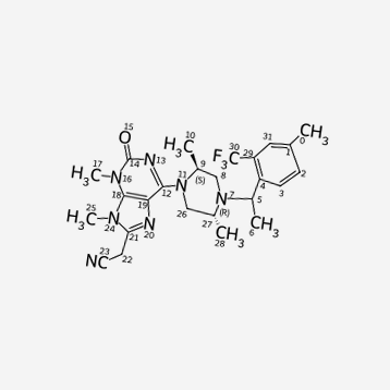 Cc1ccc(C(C)N2C[C@H](C)N(c3nc(=O)n(C)c4c3nc(CC#N)n4C)C[C@H]2C)c(C(F)(F)F)c1